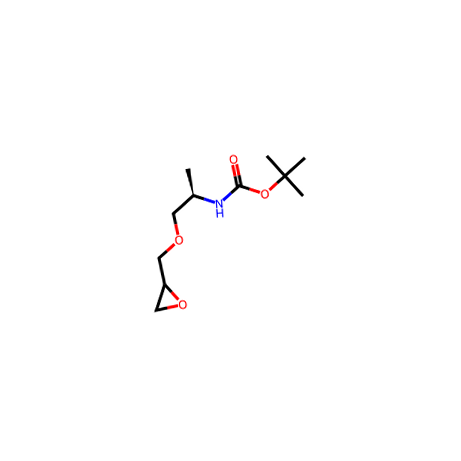 C[C@H](COCC1CO1)NC(=O)OC(C)(C)C